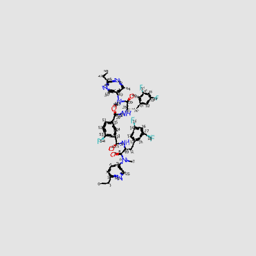 CCc1ccc(N(C)C(=O)[C@H](Cc2cc(F)cc(F)c2)NC(=O)c2cc(C(=O)N[C@@H](Cc3cc(F)cc(F)c3)C(=O)N(C)c3cnc(CC)nc3)ccc2F)cn1